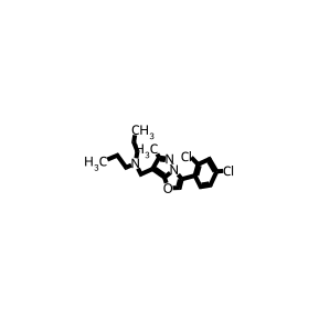 CCCN(CCC)Cc1c(C)nn2c(-c3ccc(Cl)cc3Cl)coc12